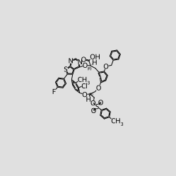 Cc1ccc(S(=O)(=O)OC[C@H]2COc3ccc(OCc4ccccc4)c(c3)C[C@H](C(=O)O)Oc3ncnc4sc(-c5ccc(F)cc5)c(c34)-c3ccc(c(Cl)c3C)O2)cc1